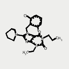 CCCn1c(=O)c2c(nc(N3CCCCC3)n2Cc2c(F)cccc2Cl)n(CC)c1=O